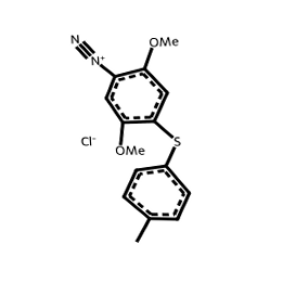 COc1cc(Sc2ccc(C)cc2)c(OC)cc1[N+]#N.[Cl-]